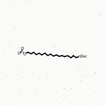 CCCCCCCCCCCCCCCCCCCCCCCCCCCCOP(=O)=O